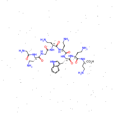 NCC[C@H](NC(=O)[C@H](CCN)NC(=O)[C@H](Cc1c[nH]c2ccccc12)NC(=O)[C@H](CCN)NC(=O)[C@H](CCN)NC(=O)CNC(=O)[C@H](CCN)NC(=O)CN)C(=O)O